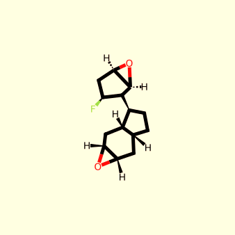 F[C@H]1C[C@H]2O[C@H]2C1[C@H]1CC[C@@H]2C[C@@H]3O[C@@H]3C[C@@H]21